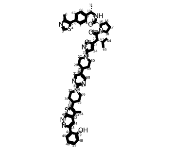 Cc1ncsc1-c1ccc([C@H](C)NC(=O)[C@@H]2CCCN2C(=O)[C@@H](c2cc(N3CCC(c4cnc(N5CCC(c6sc7nnc(-c8ccccc8O)cc7c6C)CC5)nc4)CC3)no2)C(C)C)cc1